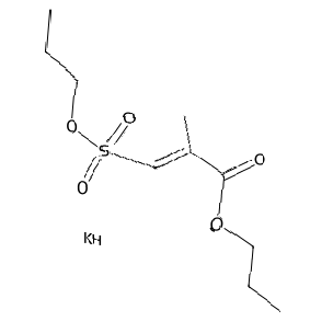 CCCOC(=O)C(C)=CS(=O)(=O)OCCC.[KH]